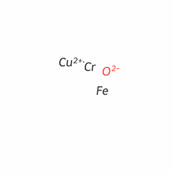 [Cr].[Cu+2].[Fe].[O-2]